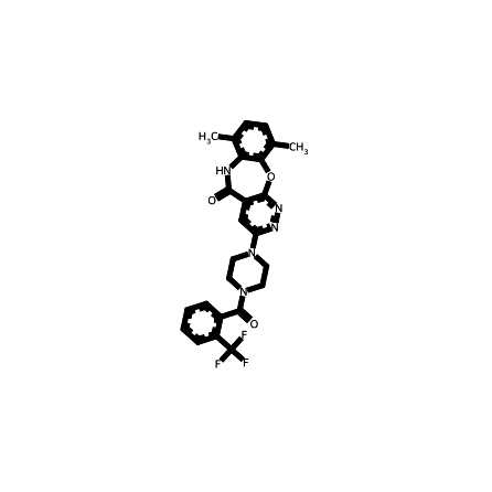 Cc1ccc(C)c2c1NC(=O)c1cc(N3CCN(C(=O)c4ccccc4C(F)(F)F)CC3)nnc1O2